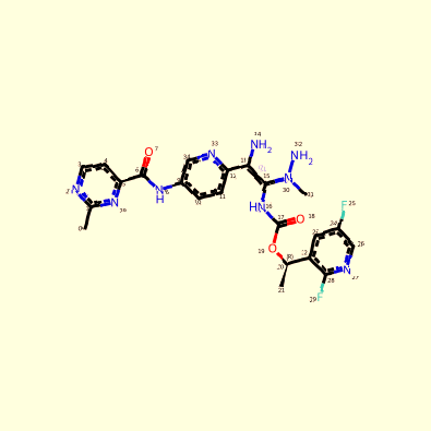 Cc1nccc(C(=O)Nc2ccc(/C(N)=C(\NC(=O)O[C@H](C)c3cc(F)cnc3F)N(C)N)nc2)n1